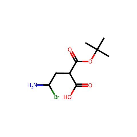 CC(C)(C)OC(=O)C(CC(N)Br)C(=O)O